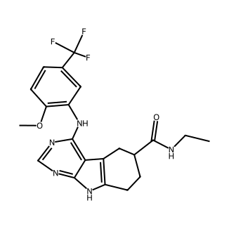 CCNC(=O)C1CCc2[nH]c3ncnc(Nc4cc(C(F)(F)F)ccc4OC)c3c2C1